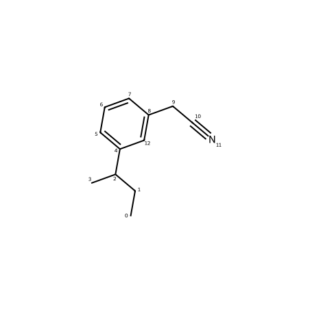 CCC(C)c1cccc(CC#N)c1